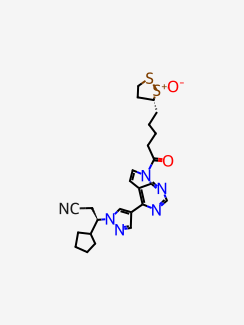 N#CC[C@H](C1CCCC1)n1cc(-c2ncnc3c2ccn3C(=O)CCCC[C@@H]2CCS[S+]2[O-])cn1